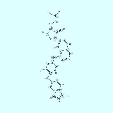 Cc1cc(Nc2ncnc3ccc(N4CC(C)C(=CCN(C)C)C4=O)nc23)ccc1Oc1ccc2c(c1)nnn2C